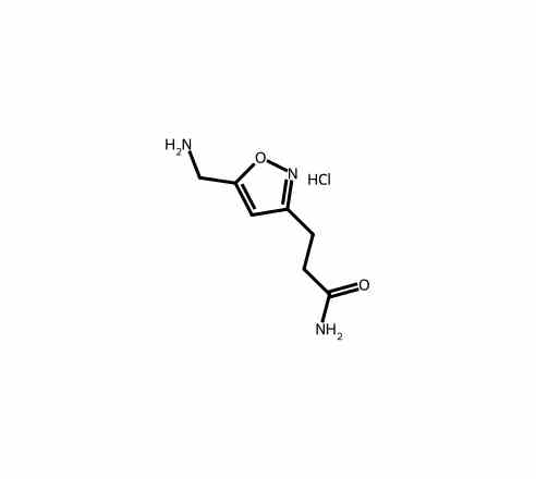 Cl.NCc1cc(CCC(N)=O)no1